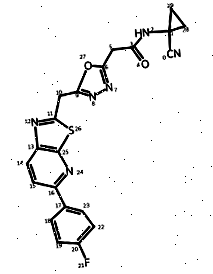 N#CC1(NC(=O)Cc2nnc(Cc3nc4ccc(-c5ccc(F)cc5)nc4s3)o2)CC1